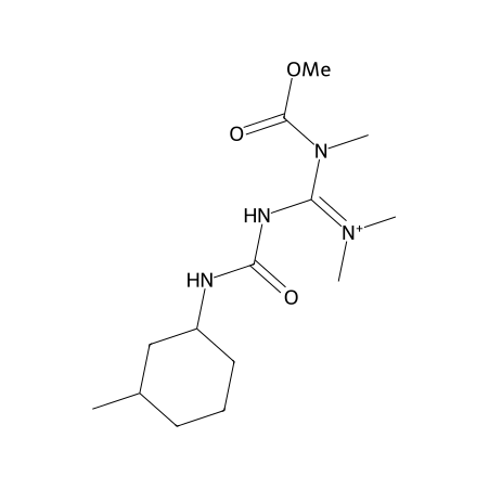 COC(=O)N(C)C(NC(=O)NC1CCCC(C)C1)=[N+](C)C